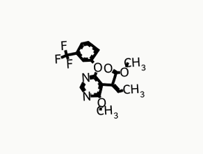 CC=C(C(=O)OC)c1c(OC)ncnc1Oc1cccc(C(F)(F)F)c1